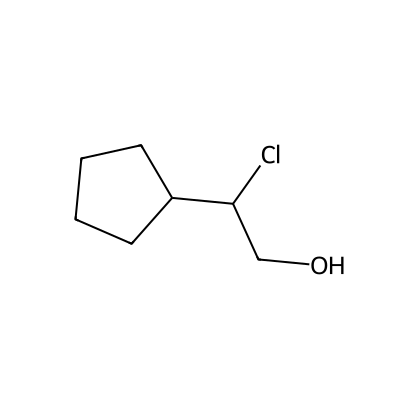 OCC(Cl)C1CCCC1